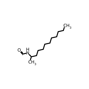 CCCCCCCCCCC(C)N[C]=O